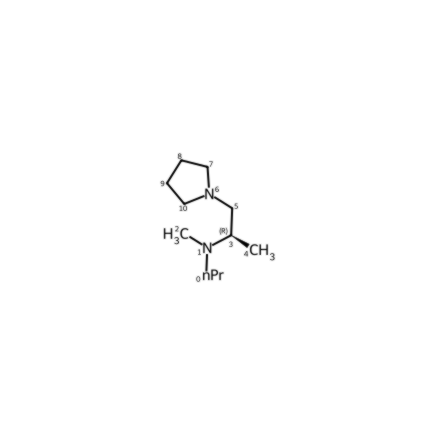 CCCN(C)[C@H](C)CN1CCCC1